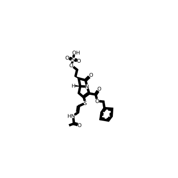 CC(=O)N/C=C/SC1=C(C(=O)OCc2ccccc2)N2C(=O)[C@H](CCOS(=O)(=O)O)[C@H]2C1